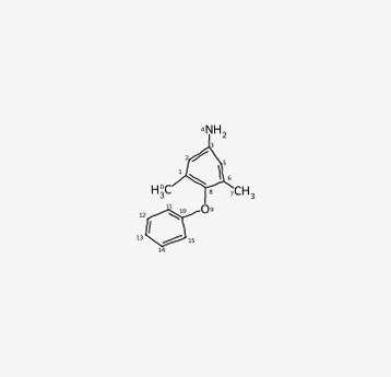 Cc1cc(N)cc(C)c1Oc1ccccc1